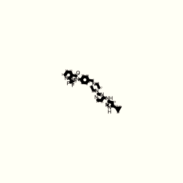 O=C(Nc1ccc(CN2CCN(c3nccc(Nc4cc(C5CC5)[nH]n4)n3)CC2)cc1)c1cccnc1C(F)(F)F